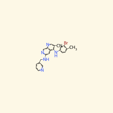 Cc1ccc(Nc2c(C#N)cnc3cnc(NCc4cccnc4)cc23)cc1Br